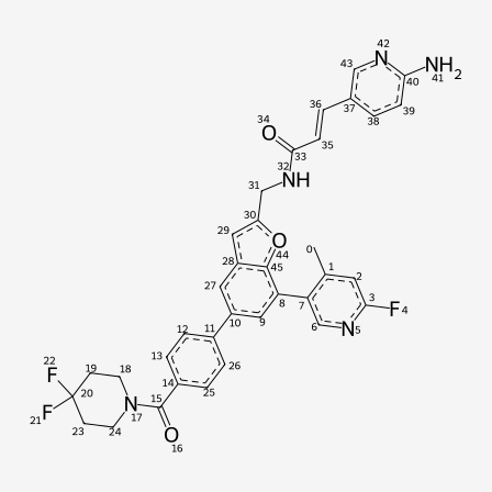 Cc1cc(F)ncc1-c1cc(-c2ccc(C(=O)N3CCC(F)(F)CC3)cc2)cc2cc(CNC(=O)C=Cc3ccc(N)nc3)oc12